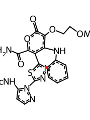 COCCOc1c(Nc2ccccc2)c(-c2nnc(-n3nccc3NC(C)=O)s2)c(C(N)=O)oc1=O